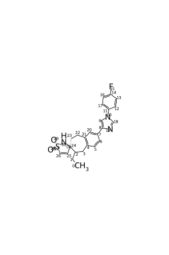 CCC1Cc2ccc(-c3cn(-c4ccc(F)cc4)cn3)cc2CC[C@@]12C=CS(=O)(=O)N2